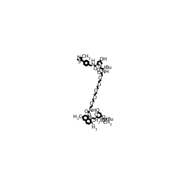 Cc1ncsc1-c1ccc(CNC(=O)[C@@H]2C[C@@H](O)CN2C(=O)[C@@H](NC(=O)COCCOCCOCCOCCOCCNC(=O)O[C@H]2C[C@@H](C)C=C3C=C[C@H](C)[C@H](CC[C@@H]4C[C@@H](O[Si](C)(C)C(C)(C)C)CC(=O)O4)[C@H]32)C(C)(C)C)cc1